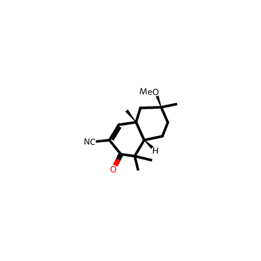 CO[C@@]1(C)CC[C@@H]2C(C)(C)C(=O)C(C#N)=C[C@]2(C)C1